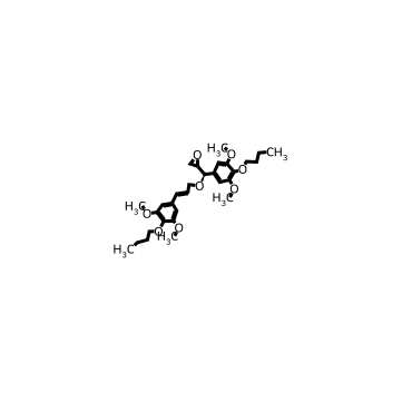 CCCCOc1c(OC)cc(/C=C/CO[C@H](c2cc(OC)c(OCCCC)c(OC)c2)C2CO2)cc1OC